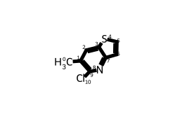 Cc1cc2sccc2nc1Cl